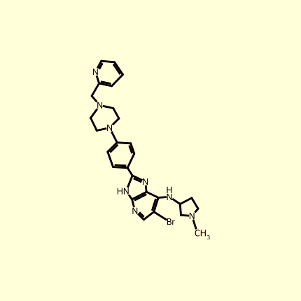 CN1CCC(Nc2c(Br)cnc3[nH]c(-c4ccc(N5CCN(Cc6ccccn6)CC5)cc4)nc23)C1